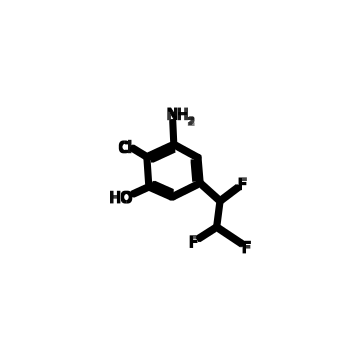 Nc1cc(C(F)C(F)F)cc(O)c1Cl